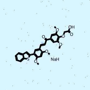 COc1cc(OC)c(-c2cc3ccccc3s2)cc1/C=C/C(=O)c1cc(OC)c(OCC(=O)O)c(OC)c1.[NaH]